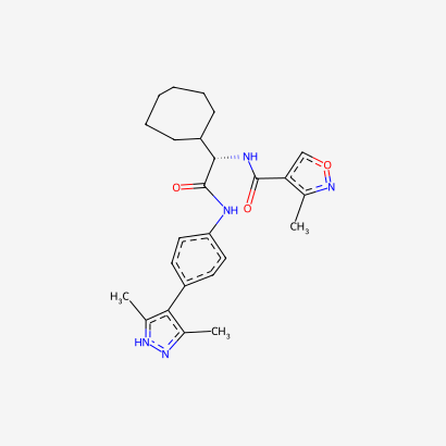 Cc1nocc1C(=O)N[C@H](C(=O)Nc1ccc(-c2c(C)n[nH]c2C)cc1)C1CCCCCC1